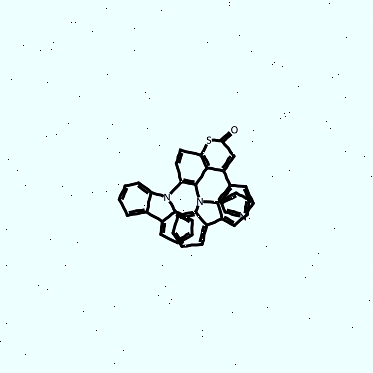 O=c1cc(-c2ccncc2)c2c(-n3c4ccccc4c4ccccc43)c(-n3c4ccccc4c4ccccc43)ccc2s1